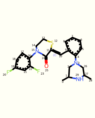 CC1CN(c2ccccc2/C=C2\SCCN(c3ccc(F)cc3F)C2=O)CC(C)N1